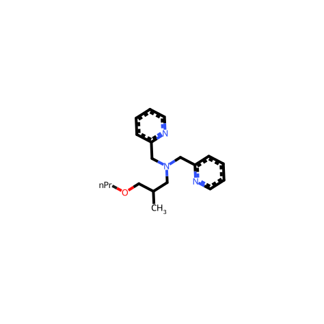 CCCOCC(C)CN(Cc1ccccn1)Cc1ccccn1